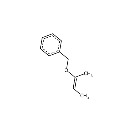 C/C=C(\C)OCc1ccccc1